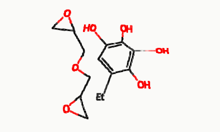 C(OCC1CO1)C1CO1.CCc1cc(O)c(O)c(O)c1O